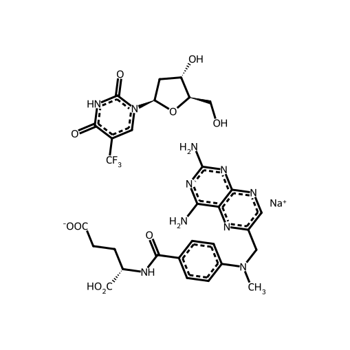 CN(Cc1cnc2nc(N)nc(N)c2n1)c1ccc(C(=O)N[C@@H](CCC(=O)[O-])C(=O)O)cc1.O=c1[nH]c(=O)n([C@H]2C[C@H](O)[C@@H](CO)O2)cc1C(F)(F)F.[Na+]